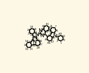 c1ccc(-n2c3ccccc3c3c(-c4nc(-n5c6ccccc6c6c5c5cccc7c8ccccc8c6n75)nc5ccccc45)cccc32)cc1